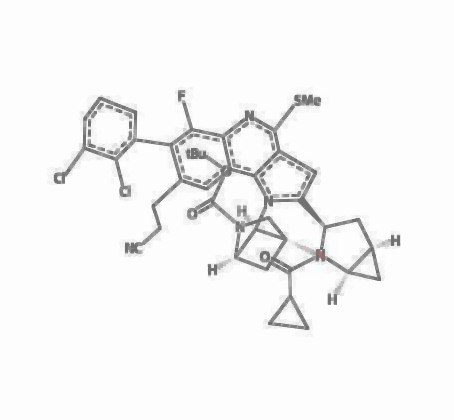 CSc1nc2c(F)c(-c3cccc(Cl)c3Cl)c(CCC#N)cc2c2c1cc([C@H]1C[C@H]3C[C@H]3N1C(=O)C1CC1)n2[C@H]1[C@@H]2C[C@H]1N(C(=O)OC(C)(C)C)C2